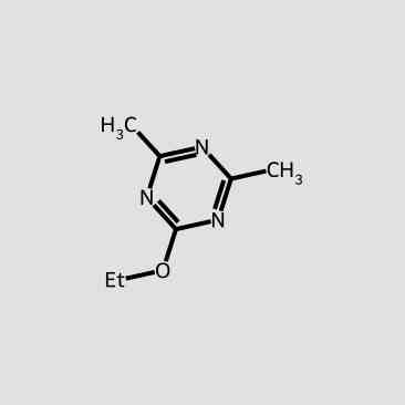 CCOc1nc(C)nc(C)n1